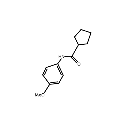 COc1ccc(NC(=O)C2CCCC2)cc1